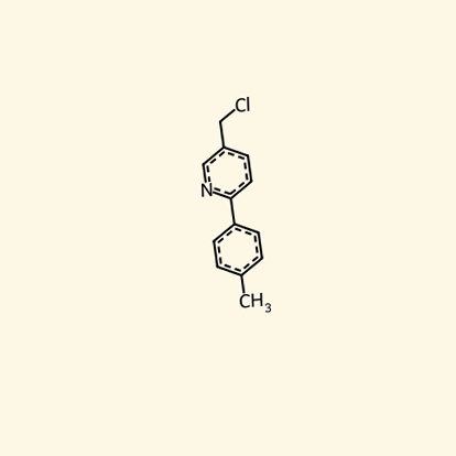 Cc1ccc(-c2ccc(CCl)cn2)cc1